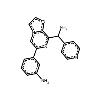 Nc1cccc(-c2cn3ccnc3c(C(N)c3ccncc3)n2)c1